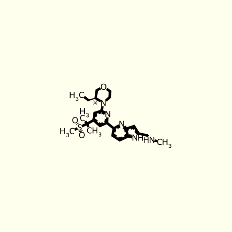 CC[C@H]1COCCN1c1cc(C(C)(C)S(C)(=O)=O)cc(-c2ccc3[nH]c(CNC)cc3n2)n1